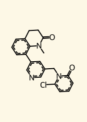 CN1C(=O)CCc2cccc(-c3cncc(Cn4c(Cl)cccc4=O)c3)c21